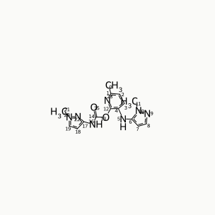 Cc1ccc(Nc2ccnn2C)c(OC(=O)Nc2ccn(C)n2)n1